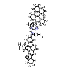 C=C(\C=C/C(=C\C)/C=C(\C)c1ccc2c(c1)-c1ccc3cc4c(cc3c1C2(C)C)oc1ccccc14)c1c2ccccc2c(-c2cccc3ccccc23)c2ccccc12